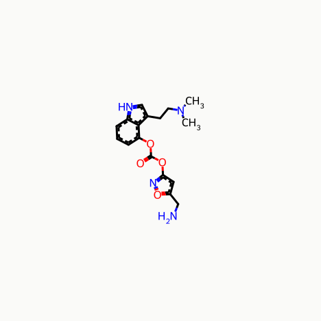 CN(C)CCc1c[nH]c2cccc(OC(=O)Oc3cc(CN)on3)c12